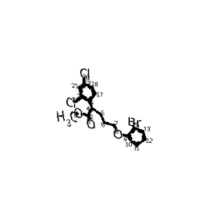 COC(=O)C(CCCOc1ccccc1Br)c1ccc(Cl)cc1Cl